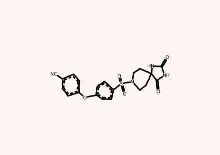 N#Cc1ccc(Oc2ccc(S(=O)(=O)N3CCC4(CC3)NC(=O)NC4=O)cc2)cc1